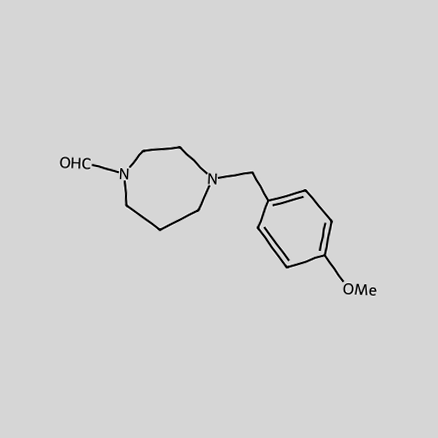 COc1ccc(CN2CCCN(C=O)CC2)cc1